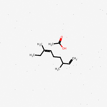 C=CC(C)CCC=C(C)CC.CC(=O)O